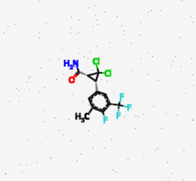 Cc1cc([C@@H]2[C@H](C(N)=O)C2(Cl)Cl)cc(C(F)(F)F)c1F